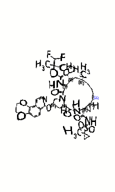 CC[C@@H]1C[C@H](C)CC/C=C\[C@@H]2C[C@@]2(C(=O)NS(=O)(=O)C2(C)CC2)NC(=O)[C@@H]2C[C@@H](Oc3nccc4c5c(ccc34)OCCO5)CN2C(=O)[C@H]1NC(=O)OC(C)(C)C(F)F